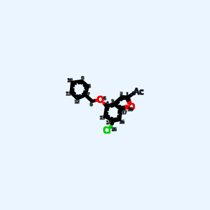 CC(=O)c1cc2c(OCc3ccccc3)cc(Cl)cc2o1